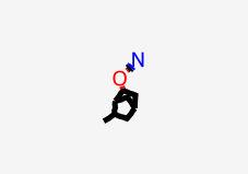 CC1CC2CC(OC#N)C1C2